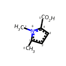 Cc1ccc(C(=O)O)n1C